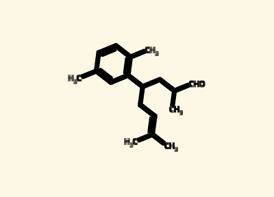 CC(C)=CCC(CC(C)C=O)c1cc(C)ccc1C